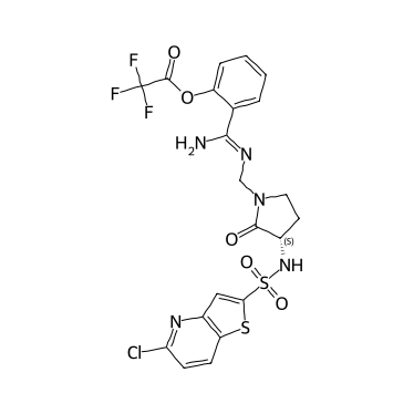 NC(=NCN1CC[C@H](NS(=O)(=O)c2cc3nc(Cl)ccc3s2)C1=O)c1ccccc1OC(=O)C(F)(F)F